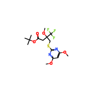 COc1cc(OC)nc(SCC(CC(=O)OC(C)(C)C)(OC)C(F)(F)F)n1